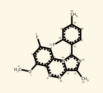 COc1cc(F)cc2c1nnc1c(C)nc(-c3ccc(C)cc3F)n12